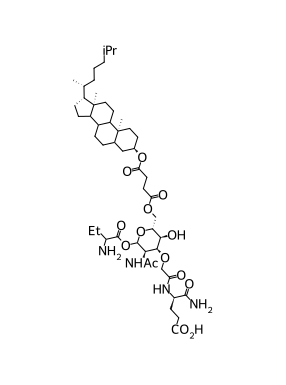 CCC(N)C(=O)OC1O[C@H](COC(=O)CCC(=O)O[C@@H]2CC[C@@]3(C)C(CCC4C3CC[C@@]3(C)C4CC[C@@H]3[C@H](C)CCCC(C)C)C2)[C@@H](O)[C@@H](OCC(=O)N[C@H](CCC(=O)O)C(N)=O)[C@H]1NC(C)=O